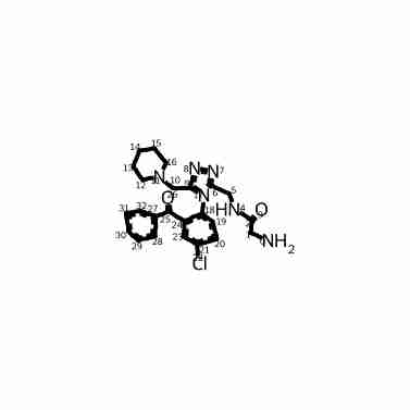 NCC(=O)NCc1nnc(CN2CCCCC2)n1-c1ccc(Cl)cc1C(=O)c1ccccc1